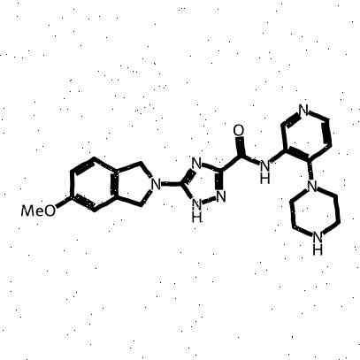 COc1ccc2c(c1)CN(c1nc(C(=O)Nc3cnccc3N3CCNCC3)n[nH]1)C2